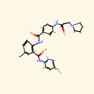 Cc1ccc(NC(=O)c2ccc(NC(=O)CN3CCCC3)cc2)c(C(=O)Nc2ccc(Cl)cn2)c1